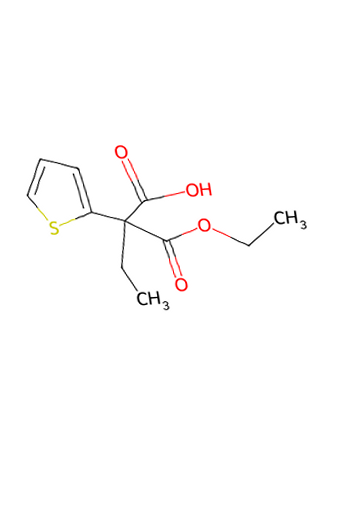 CCOC(=O)C(CC)(C(=O)O)c1cccs1